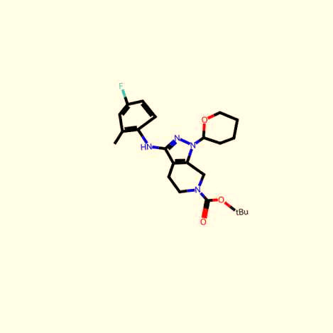 Cc1cc(F)ccc1Nc1nn(C2CCCCO2)c2c1CCN(C(=O)OC(C)(C)C)C2